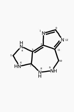 C1=NC2=C3NCNC3NNCC2=N1